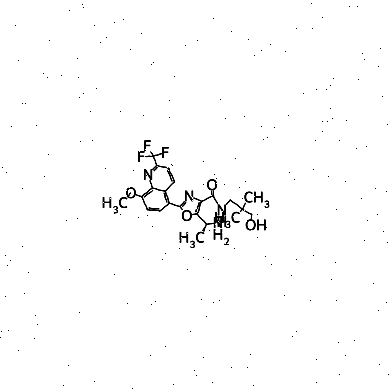 COc1ccc(-c2nc(C(=O)NCC(C)(C)CO)c([C@H](C)N)o2)c2ccc(C(F)(F)F)nc12